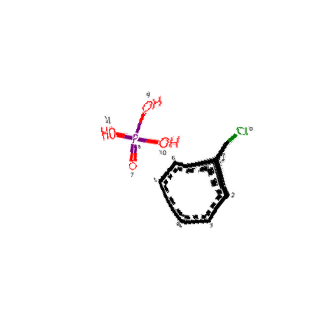 Clc1ccccc1.O=P(O)(O)O